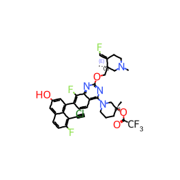 C#Cc1c(F)ccc2cc(O)cc(-c3c(Cl)cc4c(N5CCC[C@@](C)(OC(=O)C(F)(F)F)C5)nc(OC[C@]5(C)CN(C)CC/C5=C\F)nc4c3F)c12